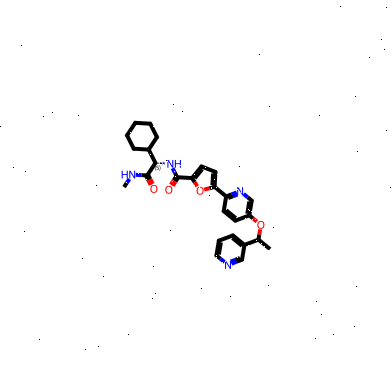 CNC(=O)[C@@H](NC(=O)c1ccc(-c2ccc(OC(C)c3cccnc3)cn2)o1)C1CCCCC1